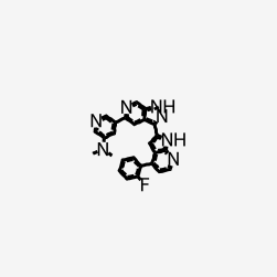 CN(C)c1cncc(-c2cc3c(-c4cc5c(-c6ccccc6F)ccnc5[nH]4)n[nH]c3cn2)c1